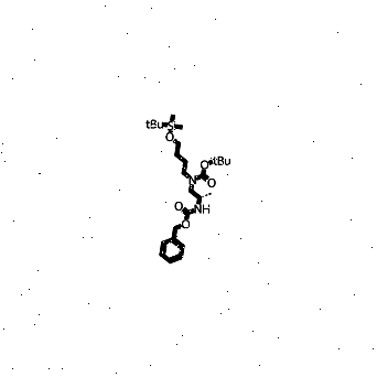 C[C@@H](CN(CCCCO[Si](C)(C)C(C)(C)C)C(=O)OC(C)(C)C)NC(=O)OCc1ccccc1